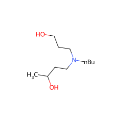 CCCCN(CCCO)CCC(C)O